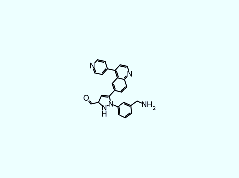 NCc1cccc(N2NC(C=O)C=C2c2ccc3nccc(-c4ccncc4)c3c2)c1